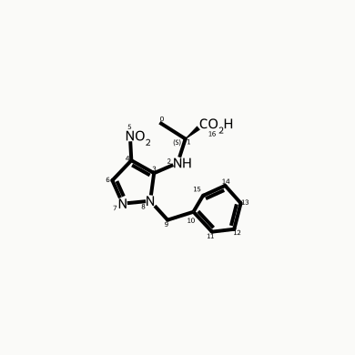 C[C@H](Nc1c([N+](=O)[O-])cnn1Cc1ccccc1)C(=O)O